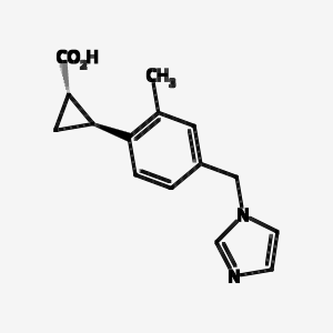 Cc1cc(Cn2ccnc2)ccc1[C@H]1C[C@@H]1C(=O)O